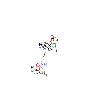 CCC(C)(/C(Cl)=C/OC)C(C)(C)C(=N)CCCCCCNC(=O)OC(C)(C)C